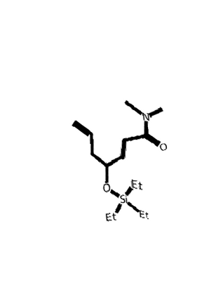 C=CCC(CCC(=O)N(C)C)O[Si](CC)(CC)CC